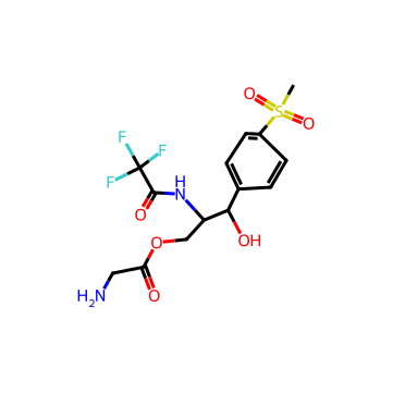 CS(=O)(=O)c1ccc(C(O)C(COC(=O)CN)NC(=O)C(F)(F)F)cc1